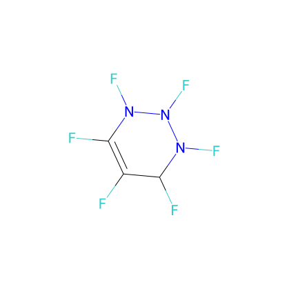 FC1=C(F)N(F)N(F)N(F)C1F